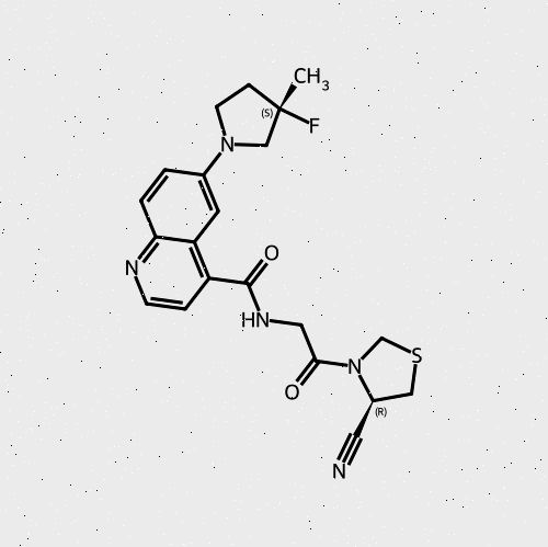 C[C@]1(F)CCN(c2ccc3nccc(C(=O)NCC(=O)N4CSC[C@H]4C#N)c3c2)C1